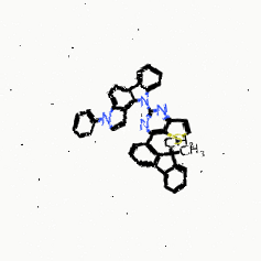 CC1(C)c2ccccc2-c2cccc(-c3nc(-n4c5ccccc5c5ccc6c(ccn6-c6ccccc6)c54)nc4ccsc34)c21